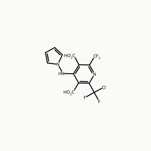 O=C(O)c1c(C(F)(F)F)nc(C(F)(F)Cl)c(C(=O)O)c1Nn1cccc1